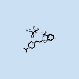 CC(C)N1CCN(CCCOc2c[c]ccc2C(F)(F)F)CC1.O=C(O)C(F)(F)F